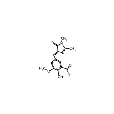 COc1cc(/C=C2\N=C(C)N(C)C2=O)cc([N+](=O)[O-])c1O